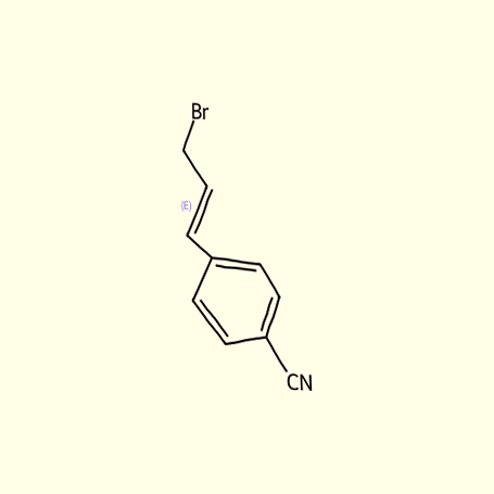 N#Cc1ccc(/C=C/CBr)cc1